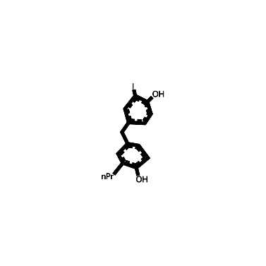 CCCc1cc(Cc2ccc(O)c(I)c2)ccc1O